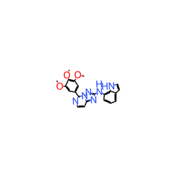 COc1cc(-c2nccc3nc(Nc4cccc5cc[nH]c45)nn23)cc(OC)c1OC